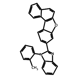 Cc1ccccc1-n1c(-c2ccc3c(c2)oc2ccc4ccccc4c23)nc2ccccc21